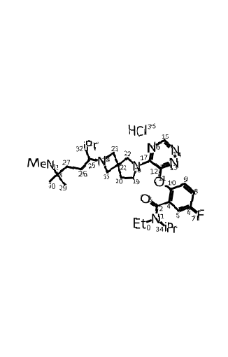 CCN(C(=O)c1cc(F)ccc1Oc1nncnc1N1CCC2(C1)CN(C(CCC(C)(C)NC)C(C)C)C2)C(C)C.Cl